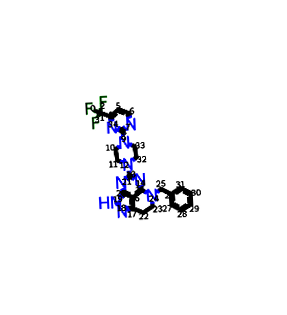 FC(F)(F)c1ccnc(N2CCN(c3nc4c5c(n[nH]c5n3)CCN4Cc3ccccc3)CC2)n1